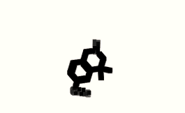 COc1ccc2c(c1)C(C)(C)CNC2